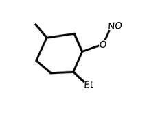 CCC1CCC(C)CC1ON=O